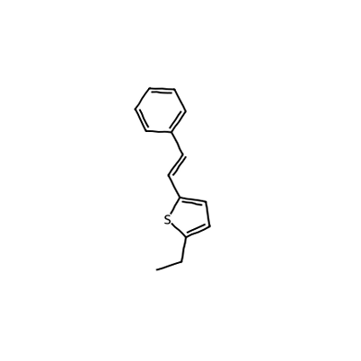 CCc1ccc(/C=C/c2ccccc2)s1